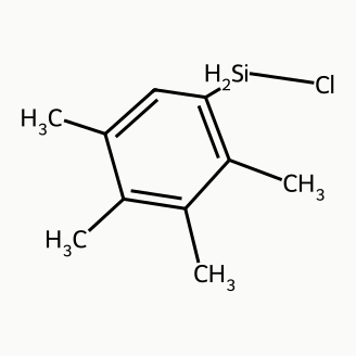 Cc1cc([SiH2]Cl)c(C)c(C)c1C